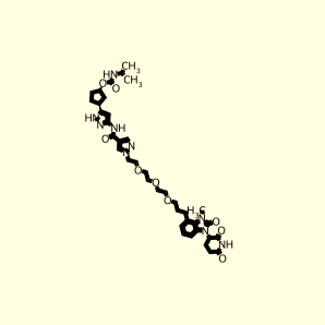 CC(C)NC(=O)O[C@@H]1CC[C@H](c2cc(NC(=O)c3cnn(CCOCCOCCOCCCc4cccc5c4n(C)c(=O)n5C4CCC(=O)NC4=O)c3)n[nH]2)C1